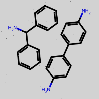 NC(c1ccccc1)c1ccccc1.Nc1ccc(-c2ccc(N)cc2)cc1